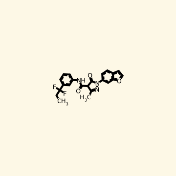 CCC(F)(F)c1cccc(NC(=O)C2C(=O)N(c3ccc4ccoc4c3)N=C2C)c1